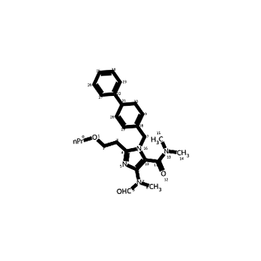 CCCOCCc1nc(N(C)C=O)c(C(=O)N(C)C)n1CC1=CCC(c2ccccc2)C=C1